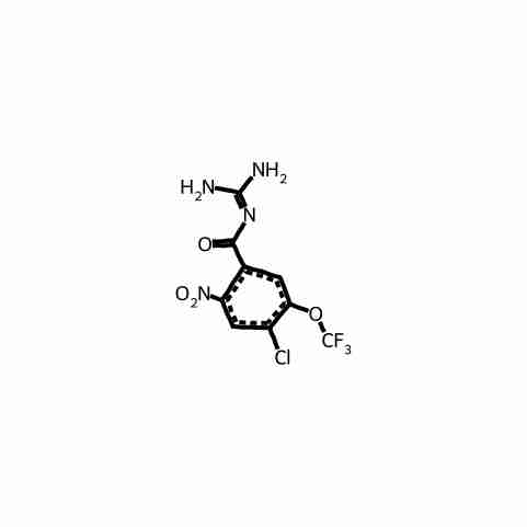 NC(N)=NC(=O)c1cc(OC(F)(F)F)c(Cl)cc1[N+](=O)[O-]